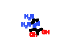 CC(CO)C(CO)n1ncc(N)c1N